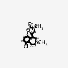 CCC(=O)N(C)Cc1oc2ccc(Cl)c3c2c1CN(C)CC3